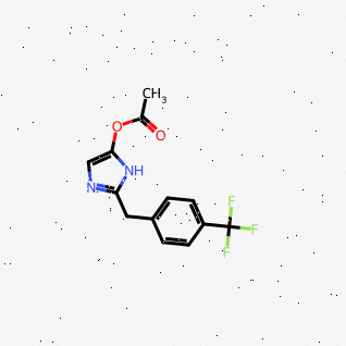 CC(=O)Oc1cnc(Cc2ccc(C(F)(F)F)cc2)[nH]1